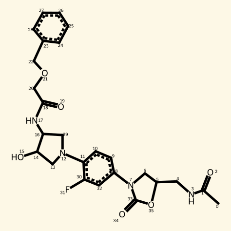 CC(=O)NCC1CN(c2ccc(N3CC(O)C(NC(=O)COCc4ccccc4)C3)c(F)c2)C(=O)O1